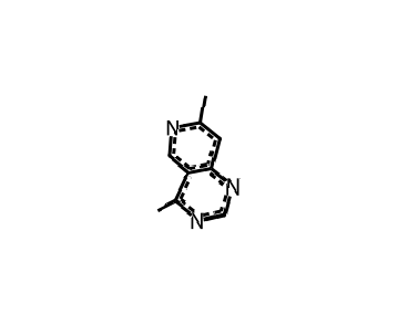 Cc1cc2ncnc(C)c2cn1